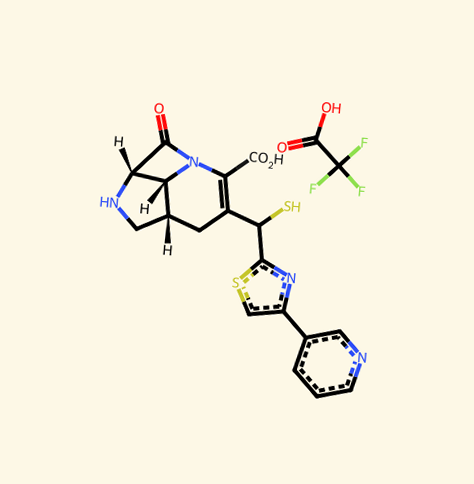 O=C(O)C(F)(F)F.O=C(O)C1=C(C(S)c2nc(-c3cccnc3)cs2)C[C@@H]2CN[C@@H]3C(=O)N1[C@H]23